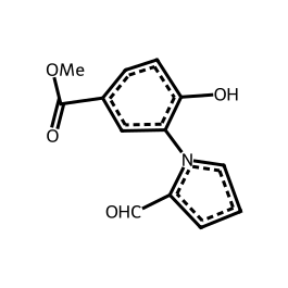 COC(=O)c1ccc(O)c(-n2cccc2C=O)c1